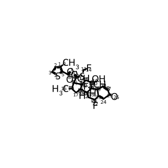 Cc1ccsc1C(=O)O[C@]1(C(=O)SCF)[C@H](C)C[C@H]2[C@@H]3C[C@H](F)C4=CC(=O)C=C[C@]4(C)[C@@]3(F)[C@@H](O)C[C@@]21C